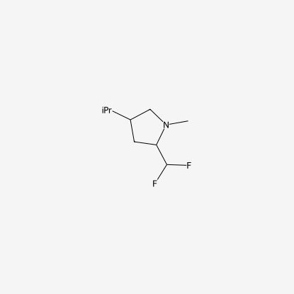 CC(C)C1CC(C(F)F)N(C)C1